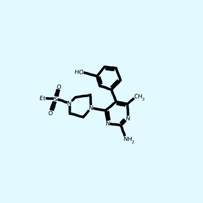 CCS(=O)(=O)N1CCN(c2nc(N)nc(C)c2-c2cccc(O)c2)CC1